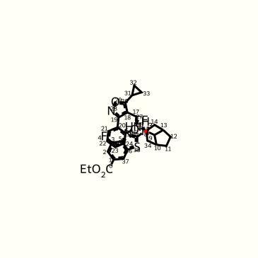 CCOC(=O)c1cc(F)c2nc(NC3C4CCC3CC(NCc3c(-c5ccccc5OC(F)(F)F)noc3C3CC3)C4)sc2c1